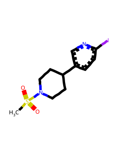 CS(=O)(=O)N1CCC(c2ccc(I)nc2)CC1